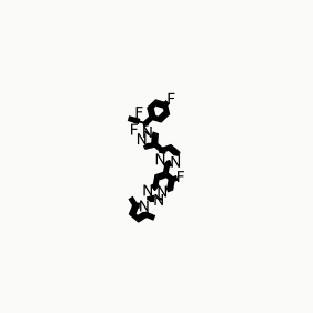 Cc1ccc(C)n1-c1nc2cc(-c3nccc(-c4cnn([C@H](c5ccc(F)cc5)C(C)(F)F)c4)n3)c(F)cn2n1